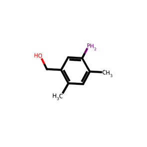 Cc1cc(C)c(CO)cc1P